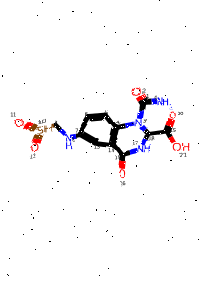 NC(=O)N1c2ccc(NC[SH](=O)=O)cc2C(=O)NC1C(=O)O